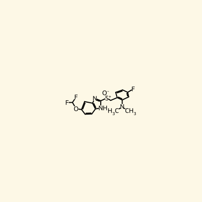 CN(C)c1cc(F)ccc1C[S+]([O-])c1nc2cc(OC(F)F)ccc2[nH]1